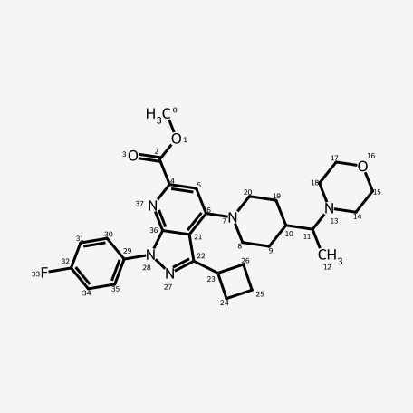 COC(=O)c1cc(N2CCC(C(C)N3CCOCC3)CC2)c2c(C3CCC3)nn(-c3ccc(F)cc3)c2n1